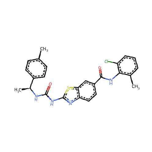 Cc1ccc([C@H](C)NC(=O)Nc2nc3ccc(C(=O)Nc4c(C)cccc4Cl)cc3s2)cc1